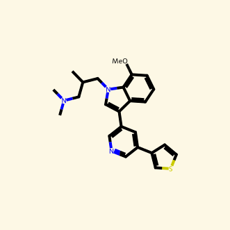 COc1cccc2c(-c3cncc(-c4ccsc4)c3)cn(CC(C)CN(C)C)c12